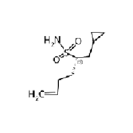 C=CCC[C@@H](CC1CC1)S(N)(=O)=O